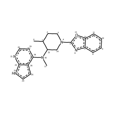 CC1CCN(c2nc3ccccc3o2)CC1N(C)c1ncnc2[nH]ccc12